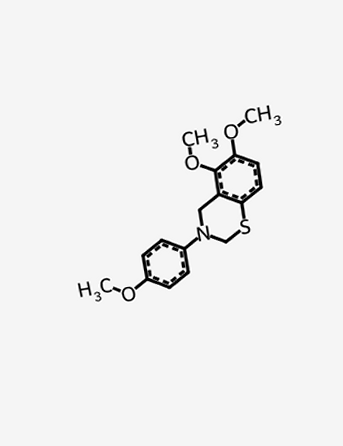 COc1ccc(N2CSc3ccc(OC)c(OC)c3C2)cc1